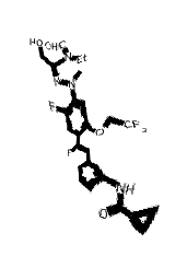 CCN(C=O)/C(CO)=N\N(C)c1cc(OCC(F)(F)F)c(/C(F)=C/c2cccc(NC(=O)C3CC3)c2)cc1F